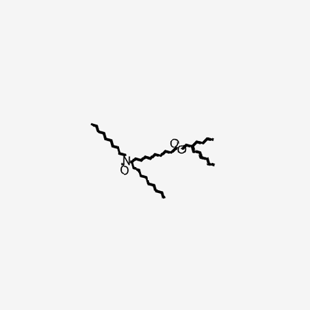 CCCCCCCCCCN(C=O)C(CCCCCCCCC)CCCCCCCCC(=O)OCC(CCCC)CCCCCC